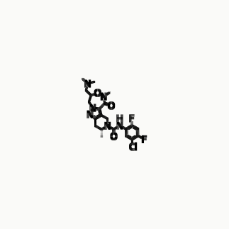 C[C@@H]1Cc2nn3c(c2CN1C(=O)Nc1cc(Cl)c(F)cc1F)C(=O)N(C)OC(CN(C)C)C3